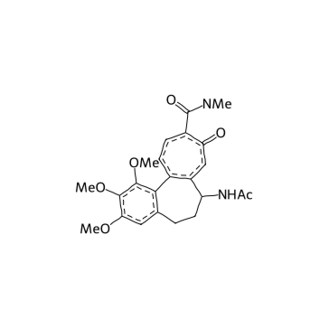 CNC(=O)c1ccc2c(cc1=O)C(NC(C)=O)CCc1cc(OC)c(OC)c(OC)c1-2